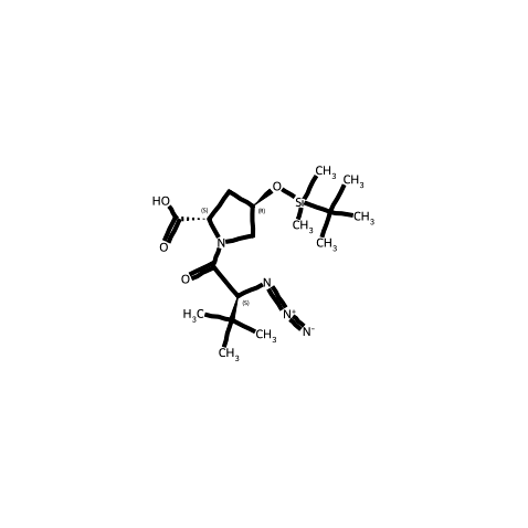 CC(C)(C)[C@H](N=[N+]=[N-])C(=O)N1C[C@H](O[Si](C)(C)C(C)(C)C)C[C@H]1C(=O)O